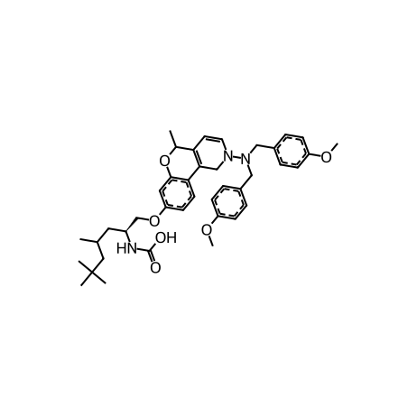 COc1ccc(CN(Cc2ccc(OC)cc2)N2C=CC3=C(C2)c2ccc(OC[C@H](CC(C)CC(C)(C)C)NC(=O)O)cc2OC3C)cc1